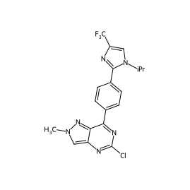 CC(C)n1cc(C(F)(F)F)nc1-c1ccc(-c2nc(Cl)nc3cn(C)nc23)cc1